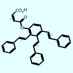 O=C(O)/C=C\C(=O)Oc1ccc(/C=C/c2ccccc2)c(/C=C/c2ccccc2)c1/C=C/c1ccccc1